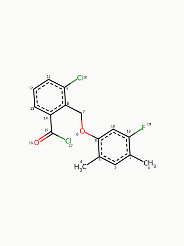 Cc1cc(C)c(OCc2c(Cl)cccc2C(=O)Cl)cc1F